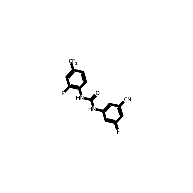 N#Cc1cc(F)cc(NC(=O)Nc2ccc(C(F)(F)F)cc2F)c1